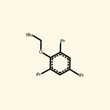 CC(C)c1cc(C(C)C)c(OCC(C)(C)C)c(C(C)C)c1